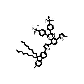 CCCCCCCCC1(CCCCCCCC)c2cc(C)ccc2-c2ccc(-c3ccc(-c4ccc(-c5ccc(C)s5)c5nc(-c6ccc(C(F)(F)F)cc6)c(-c6ccc(C(F)(F)F)cc6)nc45)s3)cc21